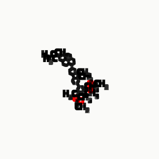 C=CC(=O)OC(C)(C)c1cc(-c2ccc3c(c2)C(C)(C)c2cc(-c4ccc5ccc6cc(C(C)(C)C)cc7ccc4c5c67)ccc2-3)cc(C(C)(C)OC(=O)C=C)c1